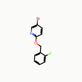 Fc1ccccc1COc1ccc(Br)cn1